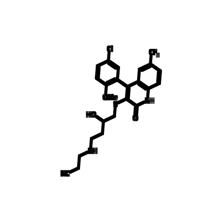 COc1ccc(Cl)cc1-c1c(SCC(O)CCNCCC#N)c(=O)[nH]c2ccc(C(F)(F)F)cc12